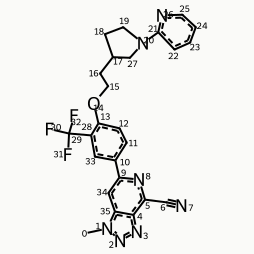 Cn1nnc2c(C#N)nc(-c3ccc(OCCC4CCN(c5ccccn5)C4)c(C(F)(F)F)c3)cc21